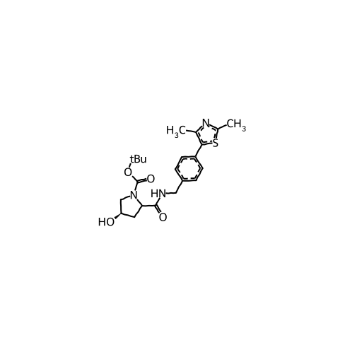 Cc1nc(C)c(-c2ccc(CNC(=O)C3C[C@@H](O)CN3C(=O)OC(C)(C)C)cc2)s1